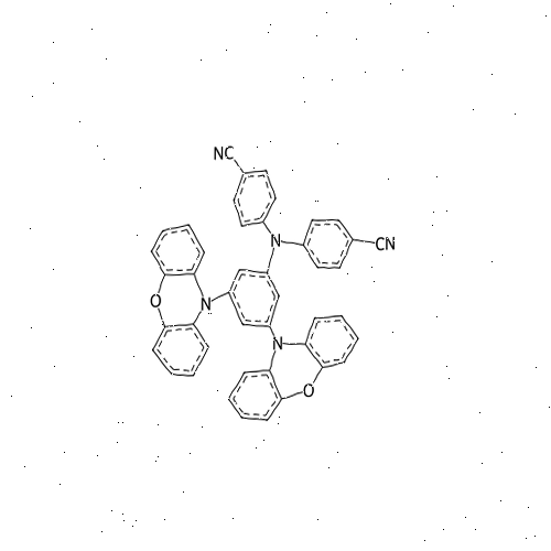 N#Cc1ccc(N(c2ccc(C#N)cc2)c2cc(N3c4ccccc4Oc4ccccc43)cc(N3c4ccccc4Oc4ccccc43)c2)cc1